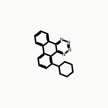 c1ccc2c(c1)c1cccc(C3CCCCC3)c1c1nnnnc21